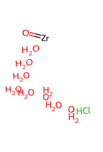 Cl.O.O.O.O.O.O.O.O.[O]=[Zr]